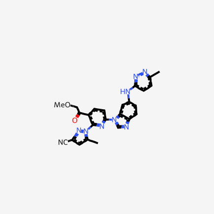 COCC(=O)c1ccc(-n2cnc3ccc(Nc4ccc(C)nn4)cc32)nc1-n1nc(C#N)cc1C